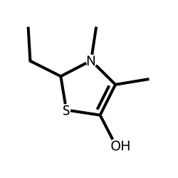 CCC1SC(O)=C(C)N1C